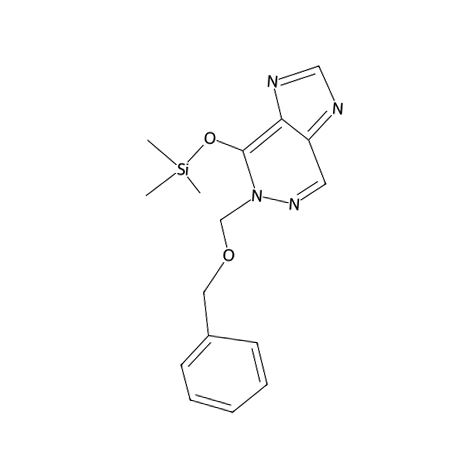 C[Si](C)(C)Oc1c2ncnc-2cnn1COCc1ccccc1